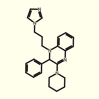 c1ccc(C2C(N3CCCCC3)=Nc3ccccc3N2CCCn2ccnc2)cc1